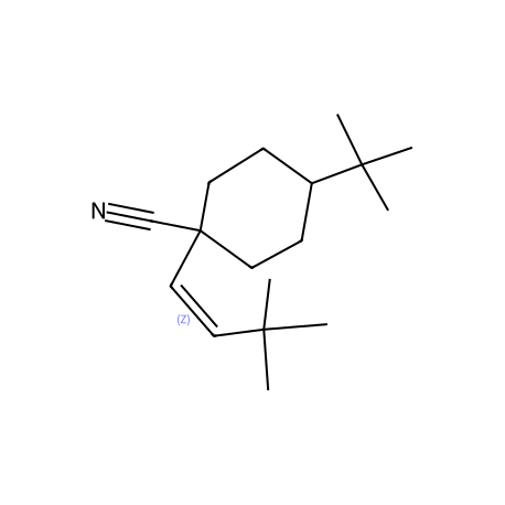 CC(C)(C)/C=C\C1(C#N)CCC(C(C)(C)C)CC1